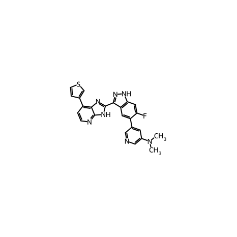 CN(C)c1cncc(-c2cc3c(-c4nc5c(-c6ccsc6)ccnc5[nH]4)n[nH]c3cc2F)c1